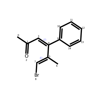 CC(=O)/C=C(\C(C)=C\Br)c1ccccc1